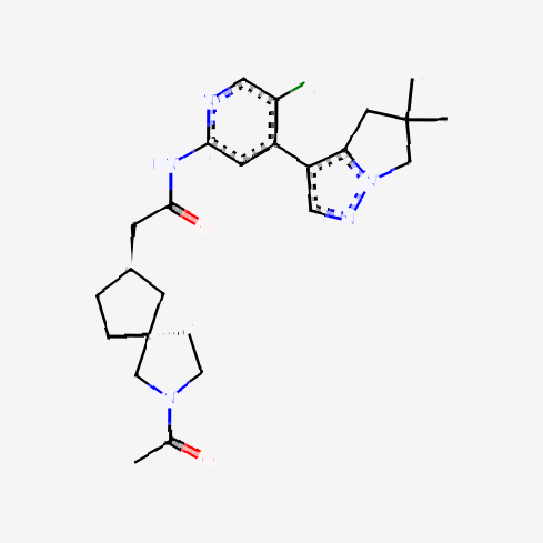 CC(=O)N1CC[C@@]2(CC[C@@H](CC(=O)Nc3cc(-c4cnn5c4CC(C)(C)C5)c(Cl)cn3)C2)C1